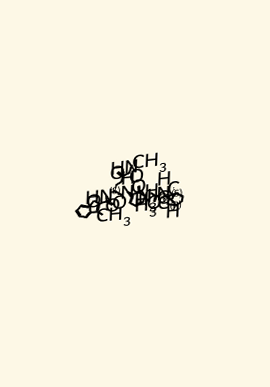 CNC(=O)C(=O)CC[C@H](NC(=O)c1oc2ccccc2c1C)C(=O)Nc1cccn(CC(=O)N[C@H]2C[C@H]3CC[C@@]2(C)C3(C)C)c1=O